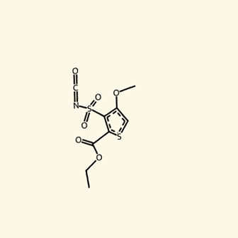 CCOC(=O)c1scc(OC)c1S(=O)(=O)N=C=O